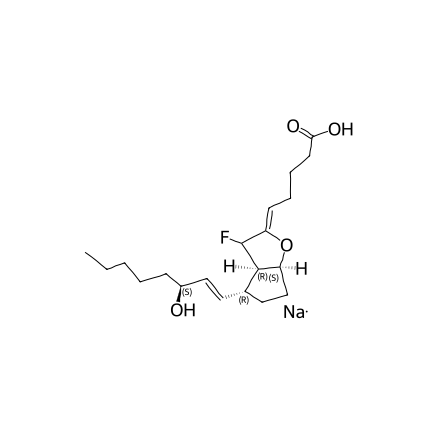 CCCCC[C@H](O)C=C[C@H]1CC[C@@H]2OC(=CCCCC(=O)O)C(F)[C@@H]21.[Na]